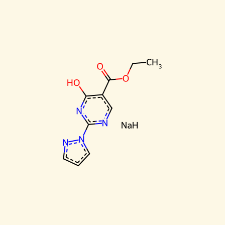 CCOC(=O)c1cnc(-n2cccn2)nc1O.[NaH]